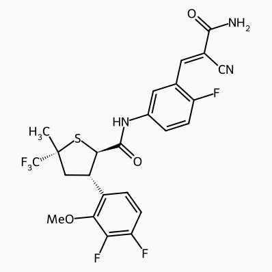 COc1c([C@@H]2C[C@](C)(C(F)(F)F)S[C@H]2C(=O)Nc2ccc(F)c(/C=C(\C#N)C(N)=O)c2)ccc(F)c1F